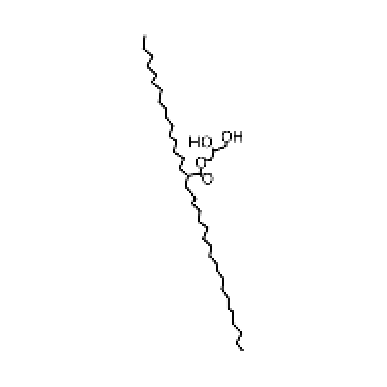 CCCCCCCCCCCCCCCCCCCCC(CCCCCCCCCCCCCCCC)C(=O)OCC(O)CO